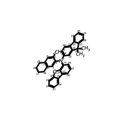 Cc1cc2c(cc1N(c1ccc3c(c1)C(C)(C)c1ccccc1-3)c1cccc3c1oc1ccccc13)CCCC2